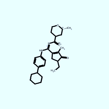 C=C(/N=C(/Nc1ccc(C2CCCCC2)cc1)C1=C(C)C(=O)C(CC)C1)C1CCO[C@H](C)C1